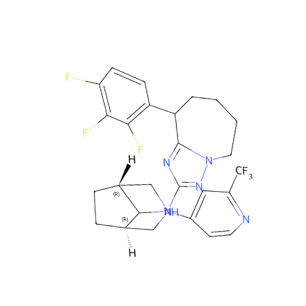 Fc1ccc(C2CCCCn3nc(NC4[C@@H]5CC[C@@H]4CN(c4ccnc(C(F)(F)F)c4)C5)nc32)c(F)c1F